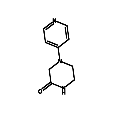 O=C1CN(c2ccncc2)CCN1